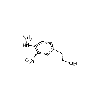 NNc1ccc(CCO)cc1[N+](=O)[O-]